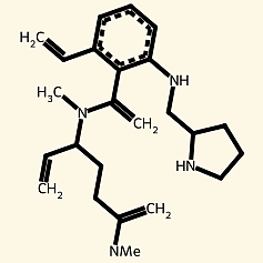 C=Cc1cccc(NCC2CCCN2)c1C(=C)N(C)C(C=C)CCC(=C)NC